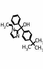 C=Cn1ccnc1C(O)(c1ccccc1)c1ccc(C(C)(C)C)cc1